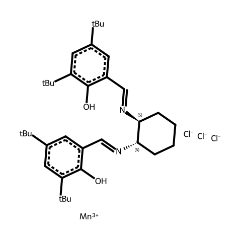 CC(C)(C)c1cc(C=N[C@H]2CCCC[C@@H]2N=Cc2cc(C(C)(C)C)cc(C(C)(C)C)c2O)c(O)c(C(C)(C)C)c1.[Cl-].[Cl-].[Cl-].[Mn+3]